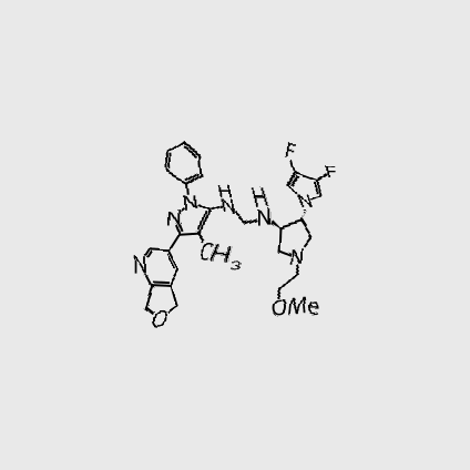 COCCN1C[C@@H](n2cc(F)c(F)c2)[C@H](NCNc2c(C)c(-c3cnc4c(c3)COC4)nn2-c2ccccc2)C1